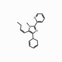 CC/C=C\c1c(C2C=CC=CC2)nc(-c2ccccn2)n1C